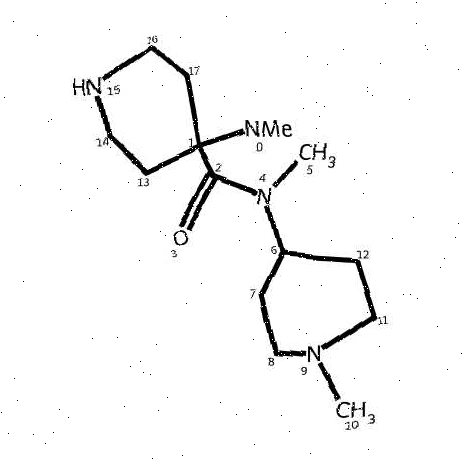 CNC1(C(=O)N(C)C2CCN(C)CC2)CCNCC1